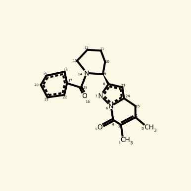 CC1=C(C)C(=O)n2nc([C@@H]3CCCCN3C(=O)c3ccccc3)cc2C1